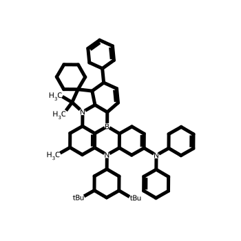 CC1CC2=C3B(C4C=CC(C5C=CC=CC5)C5C4N(C3C1)C(C)(C)C51CCCCC1)C1CC=C(N(C3C=CCCC3)C3CC=CCC3)CC1N2C1CC(C(C)(C)C)CC(C(C)(C)C)C1